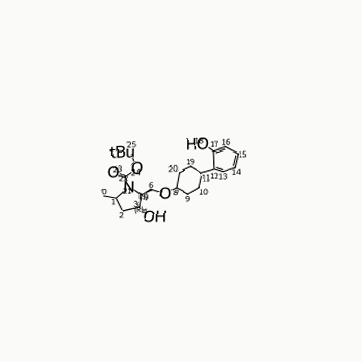 CC1C[C@@H](O)[C@H](COC2CCC(c3ccccc3O)CC2)N1C(=O)OC(C)(C)C